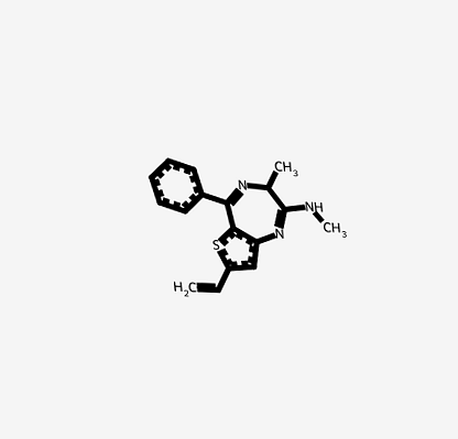 C=Cc1cc2c(s1)C(c1ccccc1)=NC(C)C(NC)=N2